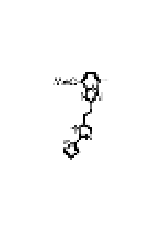 COc1ccc(C)n2nc(CCc3cnc(-c4cccs4)n3C)nc12